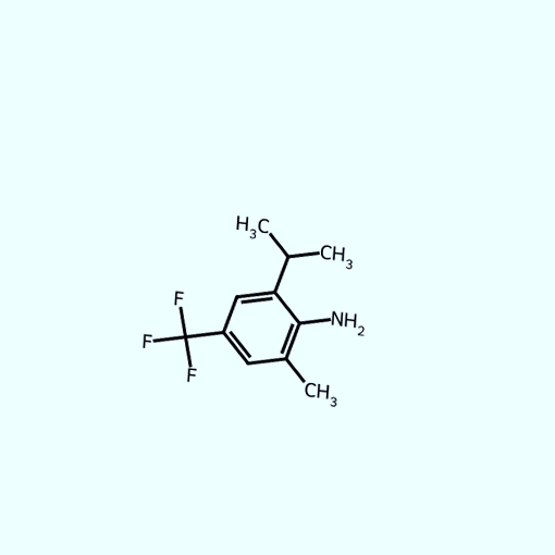 Cc1cc(C(F)(F)F)cc(C(C)C)c1N